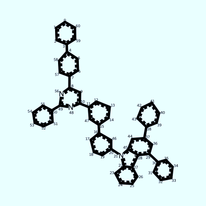 c1ccc(-c2ccc(-c3cc(-c4cccc(-c5cccc(-n6c7ccccc7c7c(-c8ccccc8)cc(-c8ccccc8)cc76)c5)c4)nc(-c4ccccc4)n3)cc2)cc1